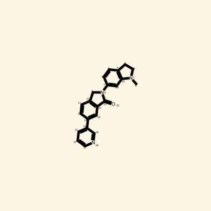 CN1CCc2ccc(N3Cc4ccc(-c5cccnc5)cc4C3=O)cc21